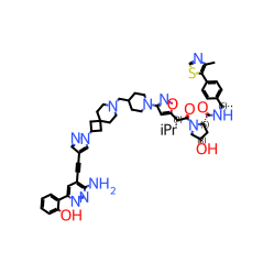 Cc1ncsc1-c1ccc([C@H](C)NC(=O)[C@@H]2C[C@@H](O)CN2C(=O)[C@@H](c2cc(N3CCC(CN4CCC5(CC4)CC(n4cc(C#Cc6cc(-c7ccccc7O)nnc6N)cn4)C5)CC3)no2)C(C)C)cc1